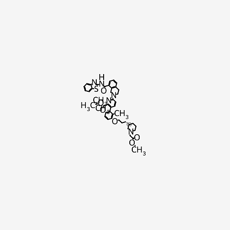 CCOC(=O)CN1CCC[C@@H](CCCOc2cccc(-c3ccc(N4CCc5cccc(C(=O)Nc6nc7ccccc7s6)c5C4)nc3C(=O)OC(C)(C)C)c2C)C1